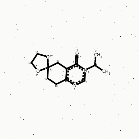 CC(C)n1cnc2c(c1=O)CC1(CC2)OCCO1